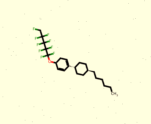 CCCCCC[C@H]1CC[C@H](C2=CCC(OC(F)(F)C(F)(F)C(F)(F)C(F)(F)CF)C=C2)CC1